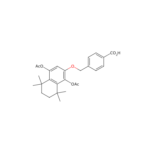 CC(=O)Oc1cc(OCc2ccc(C(=O)O)cc2)c(OC(C)=O)c2c1C(C)(C)CCC2(C)C